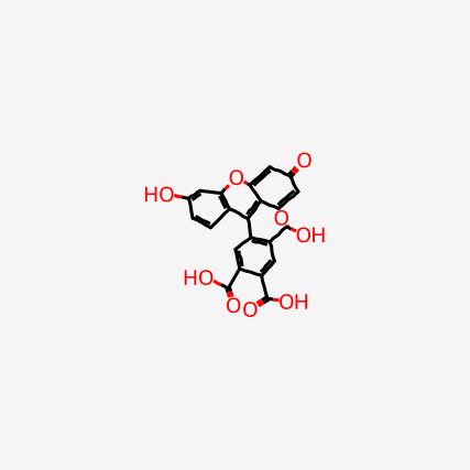 O=C(O)c1cc(C(=O)O)c(-c2c3ccc(=O)cc-3oc3cc(O)ccc23)cc1C(=O)O